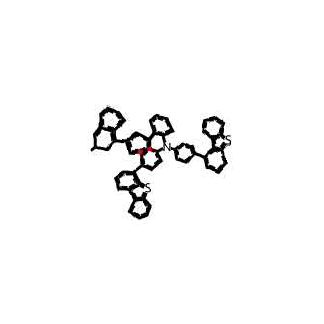 CC1C=c2ccccc2=C(c2cccc(-c3ccccc3N(c3ccc(-c4cccc5c4sc4ccccc45)cc3)c3ccc(-c4cccc5sc6ccccc6c45)cc3)c2)C1